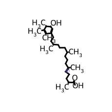 CC1=C(C)C(C)C(O)C=C1CCC(C)CCCC(C)CCC/C(C)=C/CCC(C)C(=O)O